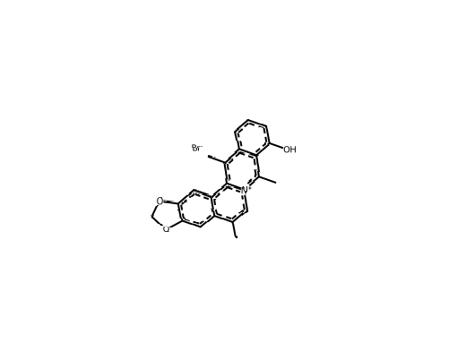 Cc1c[n+]2c(C)c3c(O)cccc3c(C)c2c2cc3c(cc12)OCO3.[Br-]